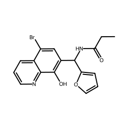 CCC(=O)NC(c1ccco1)c1cc(Br)c2cccnc2c1O